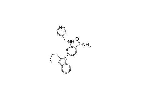 NC(=O)c1ccc(-n2c3c(c4ccccc42)CCCC3)cc1NCc1ccncc1